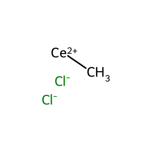 [CH3][Ce+2].[Cl-].[Cl-]